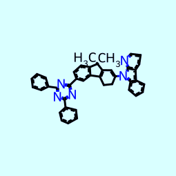 CC1(C)C2=C(CCC(n3c4ccccc4c4cccnc43)=C2)c2cc(-c3nc(-c4ccccc4)nc(-c4ccccc4)n3)ccc21